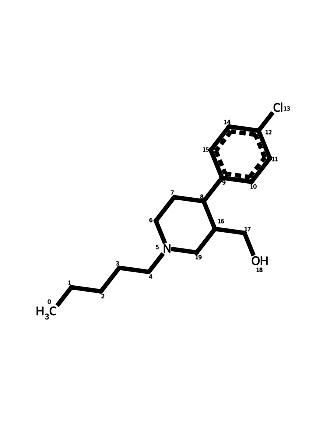 CCCCCN1CCC(c2ccc(Cl)cc2)C(CO)C1